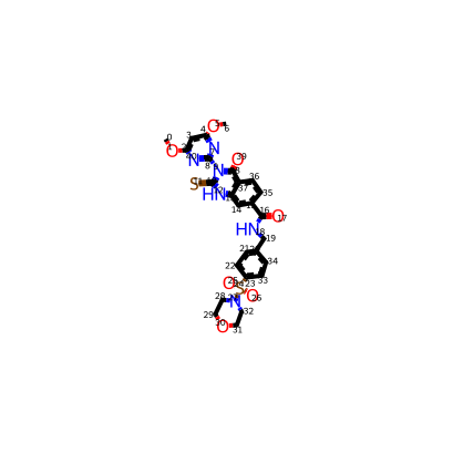 COc1cc(OC)nc(-n2c(=S)[nH]c3cc(C(=O)NCc4ccc(S(=O)(=O)N5CCOCC5)cc4)ccc3c2=O)n1